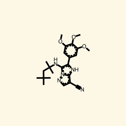 COc1cc(-c2[nH]c3c(C#N)cnn3c2NC(C)(C)CC(C)(C)C)cc(OC)c1OC